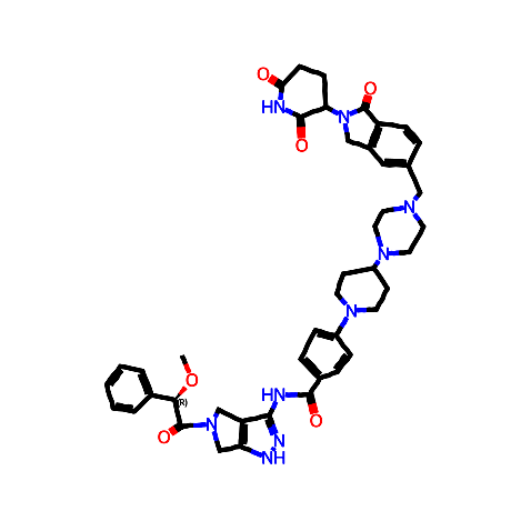 CO[C@@H](C(=O)N1Cc2[nH]nc(NC(=O)c3ccc(N4CCC(N5CCN(Cc6ccc7c(c6)CN(C6CCC(=O)NC6=O)C7=O)CC5)CC4)cc3)c2C1)c1ccccc1